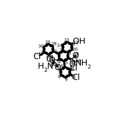 NS(=O)(=O)c1c(-c2cccc(Cl)c2Cl)c(S(N)(=O)=O)c2cc(O)ccc2c1-c1cccc(Cl)c1Cl